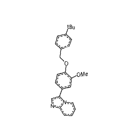 COc1cc(-c2cnc3ccccn23)ccc1OCc1ccc(C(C)(C)C)cc1